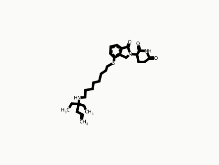 C=CCC(CC)(CC)NCCCCCCCCSc1cccc2c1CN(C1CCC(=O)NC1=O)C2=O